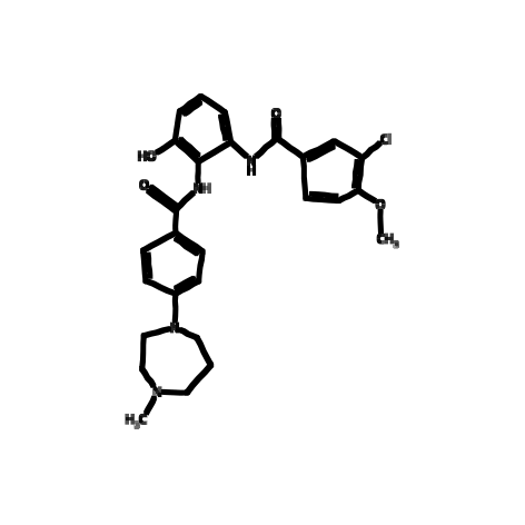 COc1ccc(C(=O)Nc2cccc(O)c2NC(=O)c2ccc(N3CCCN(C)CC3)cc2)cc1Cl